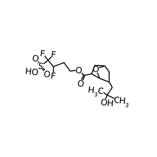 CC(C)(O)CC1CC2CC(C(=O)OCCC(F)C(F)(F)S(=O)(=O)O)C1O2